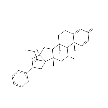 C[C@]12C=CC(=O)C=C1[C@@H](F)C[C@H]1[C@@H]3C[C@H]4CN(c5ccccc5)C[C@@]4(C(=O)CF)[C@@]3(C)C[C@H](O)[C@@]12F